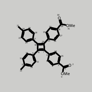 COC(=O)c1ccc(C2=C(c3ccc(C)cc3)C(c3ccc(C)cc3)=C2c2ccc(C(=O)OC)cc2)cc1